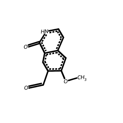 COc1cc2cc[nH]c(=O)c2cc1C=O